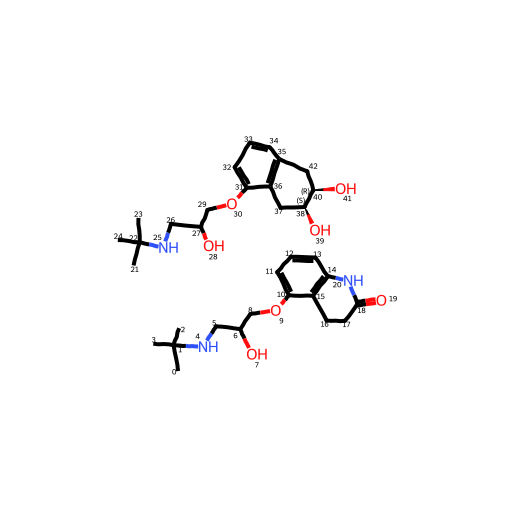 CC(C)(C)NCC(O)COc1cccc2c1CCC(=O)N2.CC(C)(C)NCC(O)COc1cccc2c1C[C@H](O)[C@H](O)C2